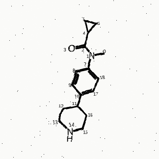 CN(C(=O)C1CC1)c1ccc(C2CCNCC2)cc1